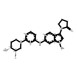 CCC(C)n1cc(N2CCCC2=O)c2cnc(Nc3ccnc(N4CC[C@@H](O)[C@@H](F)C4)n3)cc21